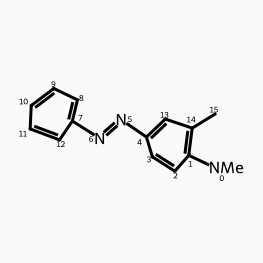 CNc1ccc(/N=N/c2ccccc2)cc1C